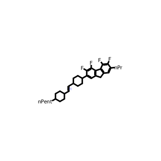 CCCCCC1CCC(/C=C/C2CCC(c3cc4c(c(F)c3F)-c3c(cc(CCC)c(F)c3F)C4)CC2)CC1